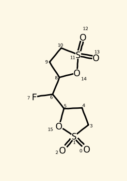 O=S1(=O)CCC(C(F)C2CCS(=O)(=O)O2)O1